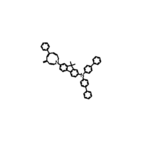 C=C1/C=C\N(c2ccc3c(c2)C(C)(C)c2cc(N(c4ccc(-c5ccccc5)cc4)c4ccc(-c5ccccc5)cc4)ccc2-3)C/C=C\C(c2ccccc2)=C/1